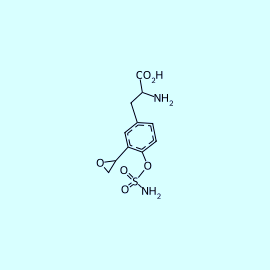 NC(Cc1ccc(OS(N)(=O)=O)c(C2CO2)c1)C(=O)O